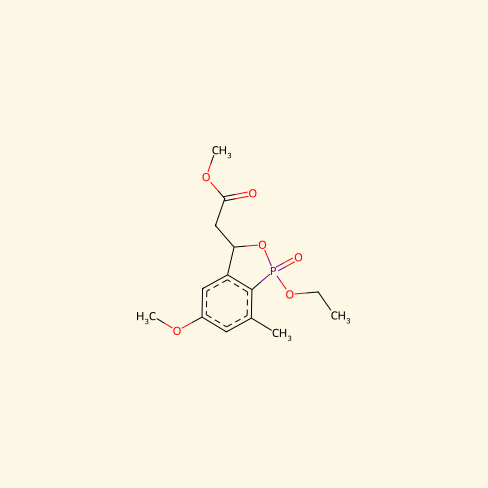 CCOP1(=O)OC(CC(=O)OC)c2cc(OC)cc(C)c21